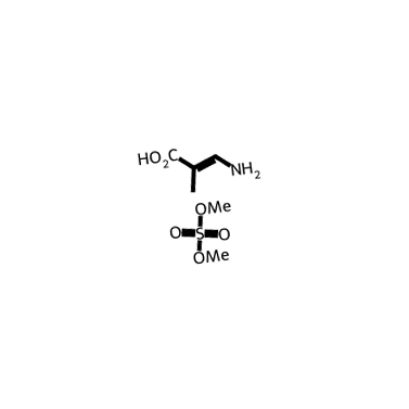 CC(=CN)C(=O)O.COS(=O)(=O)OC